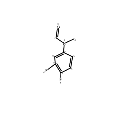 CN([C]=O)c1ccc(F)c(F)c1